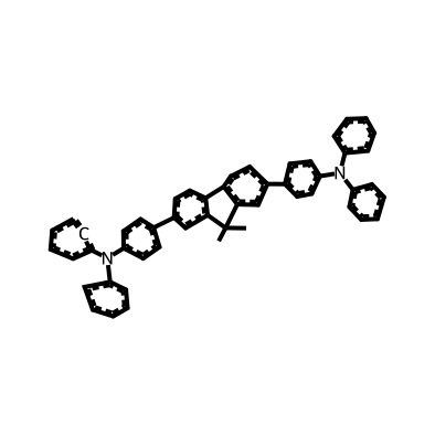 CC1(C)c2cc(-c3ccc(N(c4ccccc4)c4ccccc4)cc3)ccc2-c2ccc(-c3ccc(N(c4ccccc4)c4ccccc4)cc3)cc21